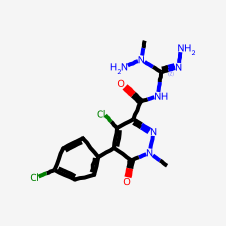 CN(N)/C(=N\N)NC(=O)c1nn(C)c(=O)c(-c2ccc(Cl)cc2)c1Cl